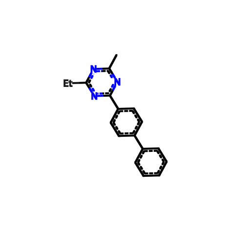 CCc1nc(C)nc(-c2ccc(-c3ccccc3)cc2)n1